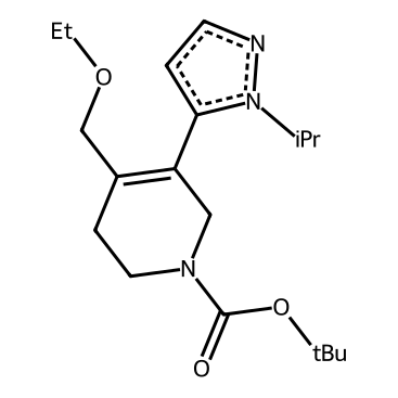 CCOCC1=C(c2ccnn2C(C)C)CN(C(=O)OC(C)(C)C)CC1